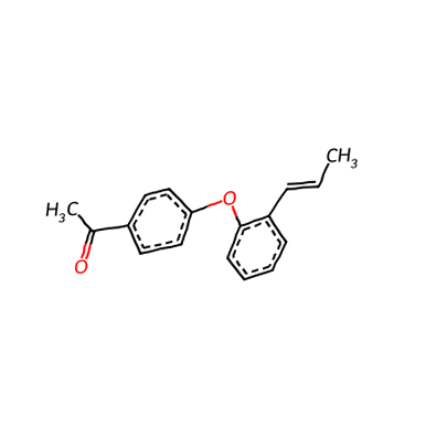 CC=Cc1ccccc1Oc1ccc(C(C)=O)cc1